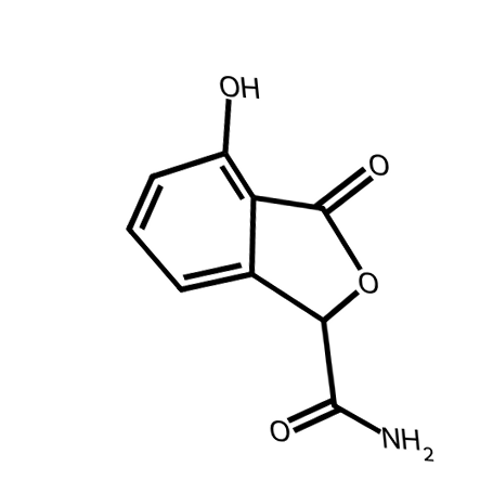 NC(=O)C1OC(=O)c2c(O)cccc21